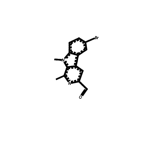 Cc1nc(C=O)cc2c3cc(Br)ccc3n(C)c12